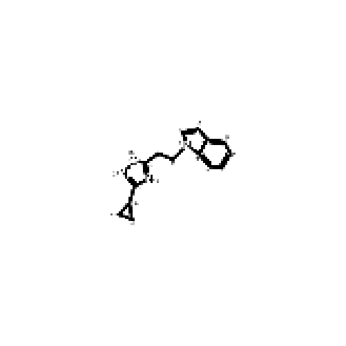 [c]1ccc2c(c1)ccn2CCc1nc(C2CC2)no1